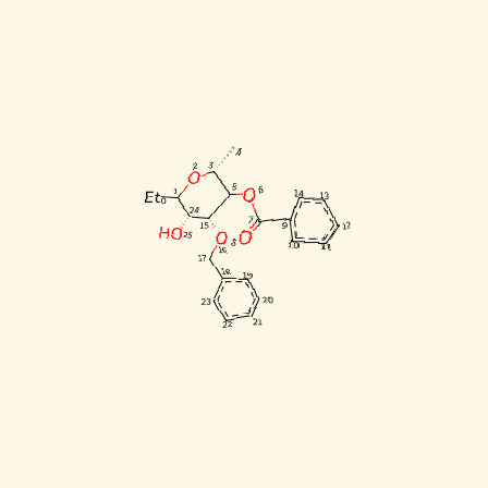 CCC1O[C@H](C)C(OC(=O)c2ccccc2)[C@H](OCc2ccccc2)[C@@H]1O